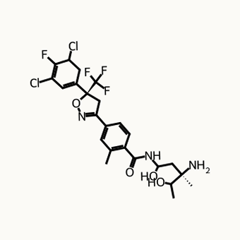 Cc1cc(C2=NO[C@@](C3=CC(Cl)=C(F)C(Cl)C3)(C(F)(F)F)C2)ccc1C(=O)NC(O)C[C@@](C)(N)C(C)O